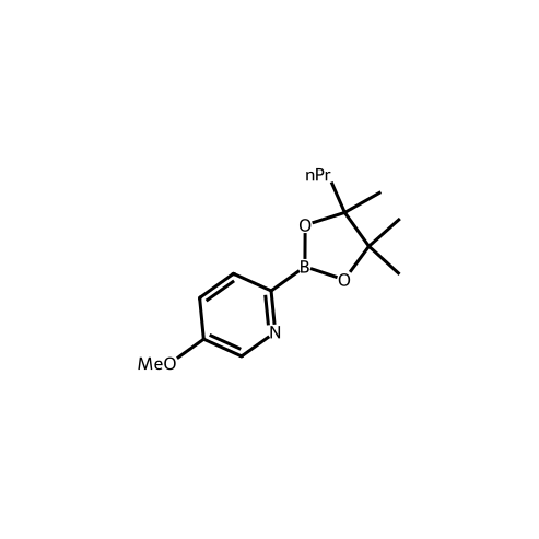 CCCC1(C)OB(c2ccc(OC)cn2)OC1(C)C